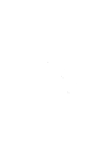 CCCCC(C)(CCCC)C1CN(C(=O)N(C)C)C1